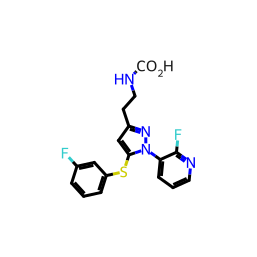 O=C(O)NCCc1cc(Sc2cccc(F)c2)n(-c2cccnc2F)n1